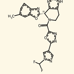 Cc1ccc2nc([C@@H]3c4nc[nH]c4CCN3C(=O)c3nnc(-c4cnn(C(F)F)c4)o3)oc2c1